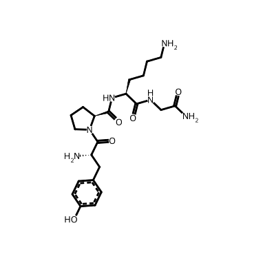 NCCCC[C@H](NC(=O)[C@@H]1CCCN1C(=O)[C@@H](N)Cc1ccc(O)cc1)C(=O)NCC(N)=O